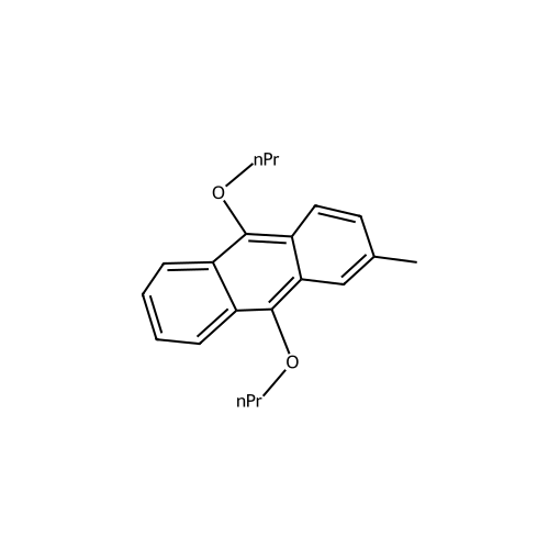 CCCOc1c2ccccc2c(OCCC)c2cc(C)ccc12